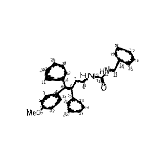 COc1ccc(/C(=C(/CCNC(=O)NCc2ccccc2)c2ccccc2)c2ccccc2)cc1